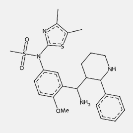 COc1ccc(N(c2nc(C)c(C)s2)S(C)(=O)=O)cc1C(N)C1CCCNC1c1ccccc1